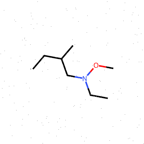 [CH2]CC(C)CN(CC)OC